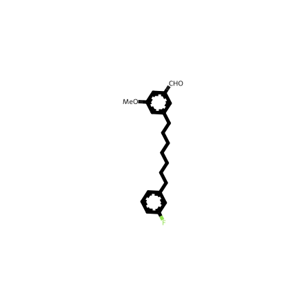 COc1cc(C=O)cc(CCCCCCCc2cccc(F)c2)c1